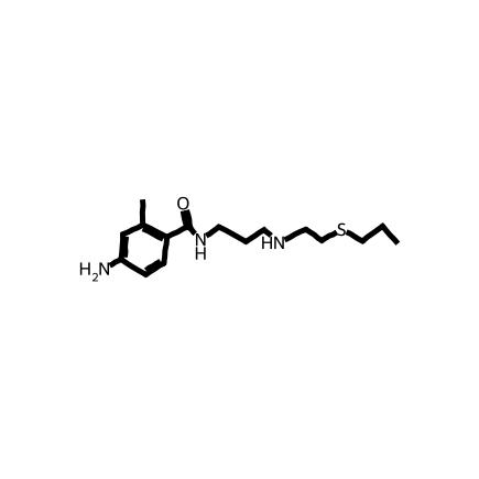 CCCSCCNCCCNC(=O)c1ccc(N)cc1C